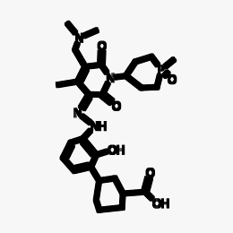 CC1=C(CN(C)C)C(=O)N(C2CCP(C)(=O)CC2)C(=O)C1=NNc1cccc(C2CCCC(C(=O)O)C2)c1O